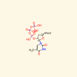 CCCCC[C@@H]1CC(OP(=O)(O)OP(=O)(O)OP(=O)(O)O)[C@H](n2cc(C)c(=O)[nH]c2=O)O1